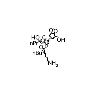 CCCCN(CCCCN)C(=O)CN1C[C@H](c2cc(CO)c3c(c2)OCO3)[C@@H](C(=O)O)[C@@H]1CC(C)(C)CCC